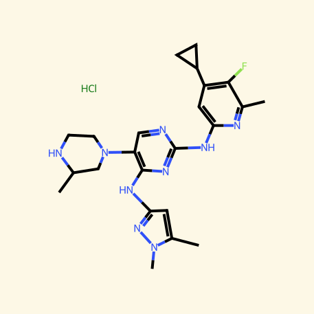 Cc1nc(Nc2ncc(N3CCNC(C)C3)c(Nc3cc(C)n(C)n3)n2)cc(C2CC2)c1F.Cl